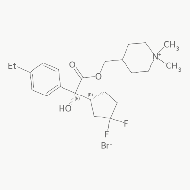 CCc1ccc([C@@](O)(C(=O)OCC2CC[N+](C)(C)CC2)[C@@H]2CCC(F)(F)C2)cc1.[Br-]